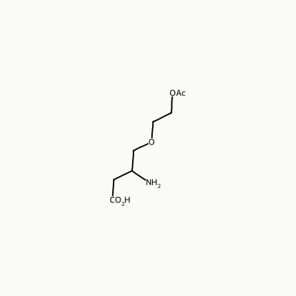 CC(=O)OCCOCC(N)CC(=O)O